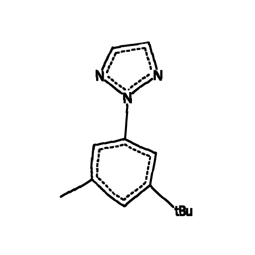 Cc1cc(-n2nccn2)cc(C(C)(C)C)c1